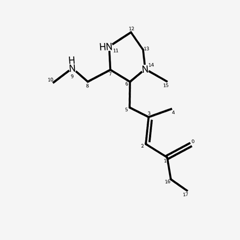 C=C(/C=C(\C)CC1C(CNC)NCCN1C)CC